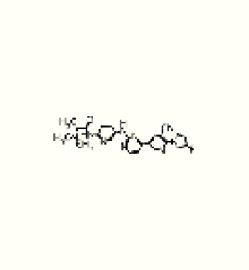 CC(C(=O)Nc1ccc(Nc2nccc(-c3cnc(N4CCC(F)C4)c(C#N)c3)n2)cn1)N(C)C